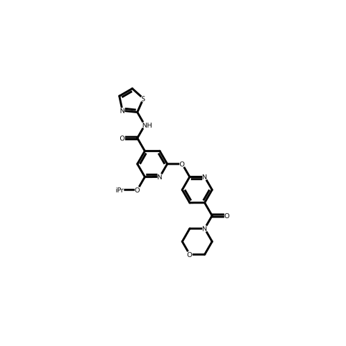 CC(C)Oc1cc(C(=O)Nc2nccs2)cc(Oc2ccc(C(=O)N3CCOCC3)cn2)n1